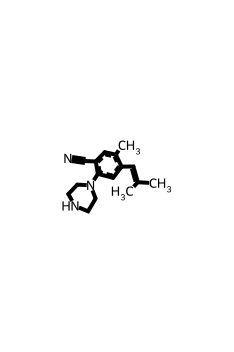 CC(C)=Cc1cc(N2CCNCC2)c(C#N)cc1C